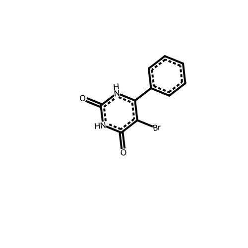 O=c1[nH]c(-c2ccccc2)c(Br)c(=O)[nH]1